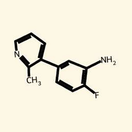 Cc1ncccc1-c1ccc(F)c(N)c1